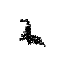 CCC(=O)O[C@@H](Cc1ccc2c(N)ncnn12)[C@@](C#N)(COP(=O)(N[C@@H](C)C(=O)OC(C)C)Oc1ccc(OCCOC)cc1)OC